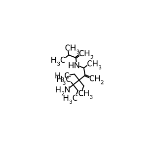 C=C(NC(C)C(=C)C(CC)(CC)C(C)(N)CC)C(C)C